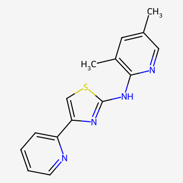 Cc1cnc(Nc2nc(-c3ccccn3)cs2)c(C)c1